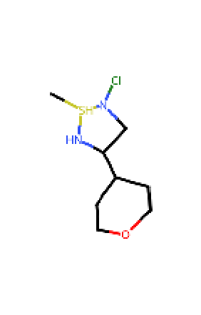 C[SH]1NC(C2CCOCC2)CN1Cl